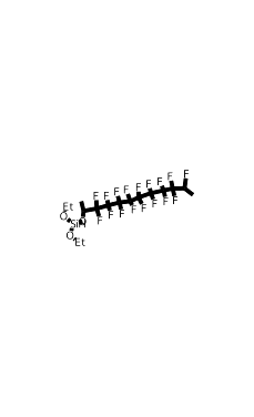 CCO[SiH](OCC)OC(C)C(F)(F)C(F)(F)C(F)(F)C(F)(F)C(F)(F)C(F)(F)C(F)(F)C(F)(F)C(C)F